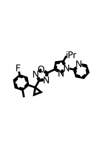 Cc1ccc(F)cc1C1(c2noc(-c3cc(C(C)C)n(-c4ccccn4)n3)n2)CC1